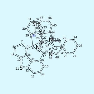 C/C(S)=C\C(C)(c1cccc2sc3cccc(-c4nc(-c5ccccc5)nc(-c5ccccc5)n4)c3c12)n1c2ccccc2c2ccccc21